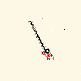 CCCCCOCCCCCCCCCCCCCc1cccc(OC(=O)O)c1O